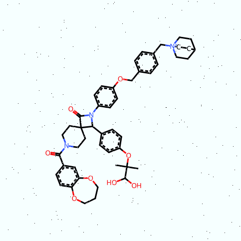 CC(C)(Oc1ccc(C2N(c3ccc(OCc4ccc(C[N+]56CCC(CC5)CC6)cc4)cc3)C(=O)C23CCN(C(=O)c2ccc4c(c2)OCCCO4)CC3)cc1)C(O)O